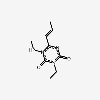 C/C=C/c1nc(=O)n(CC)c(=O)n1PC